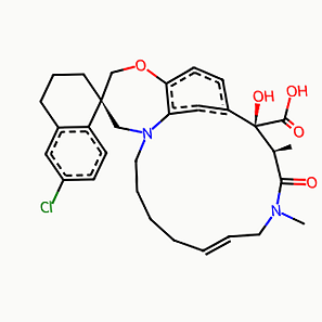 C[C@H]1C(=O)N(C)C/C=C/CCCCN2C[C@@]3(CCCc4cc(Cl)ccc43)COc3ccc(cc32)[C@]1(O)C(=O)O